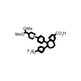 COC(OC)C1CCN(c2ccc(C3=C(c4ccc(OC(F)(F)F)cc4)CCCc4cc(C(=O)O)ccc43)cc2)CC1